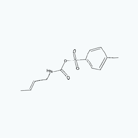 CC=CCNC(=O)OS(=O)(=O)c1ccc(C)cc1